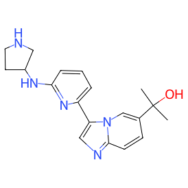 CC(C)(O)c1ccc2ncc(-c3cccc(NC4CCNC4)n3)n2c1